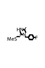 CSCC[C@@H]1CN[C@@H](C)CN1Cc1ccc(F)cc1